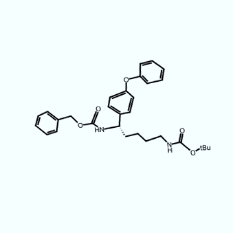 CC(C)(C)OC(=O)NCCCC[C@H](NC(=O)OCc1ccccc1)c1ccc(Oc2ccccc2)cc1